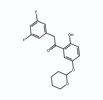 O=C(Cc1cc(F)cc(F)c1)c1cc(OC2CCCCO2)ccc1O